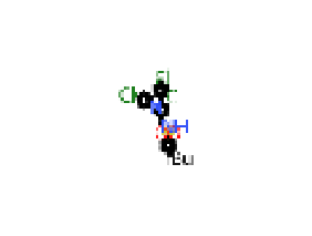 CCC(C)c1ccc(S(=O)(=O)NCC2CCC(c3ccc(Cl)cc3Cl)N(c3ccc(Cl)cc3)C2)cc1